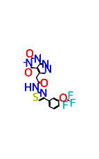 Cn1c(=O)c2c(CC(=O)Nc3nc(-c4cccc(OC(F)(F)F)c4)cs3)cnnc2n(C)c1=O